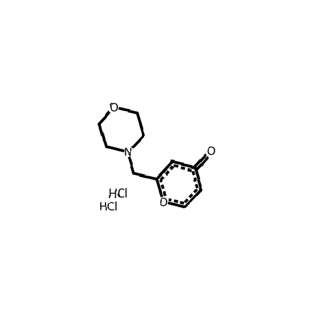 Cl.Cl.O=c1ccoc(CN2CCOCC2)c1